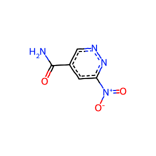 NC(=O)c1cnnc([N+](=O)[O-])c1